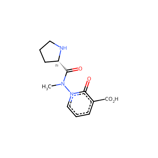 CN(C(=O)[C@@H]1CCCN1)n1cccc(C(=O)O)c1=O